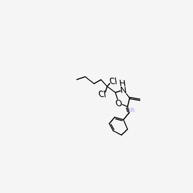 C=C1NC(C(Cl)(Cl)CCCC)O/C1=C\C1=CC=CCC1